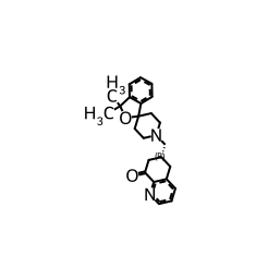 CC1(C)OC2(CCN(C[C@H]3CC(=O)c4ncccc4C3)CC2)c2ccccc21